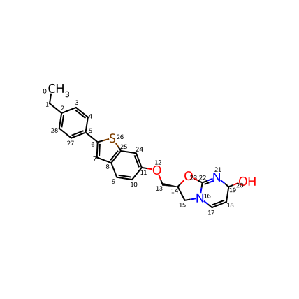 CCc1ccc(-c2cc3ccc(OC[C@@H]4CN5C=CC(O)N=C5O4)cc3s2)cc1